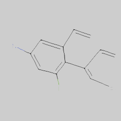 C=C/C(=C\CC)c1c(F)cc(N)cc1C=C